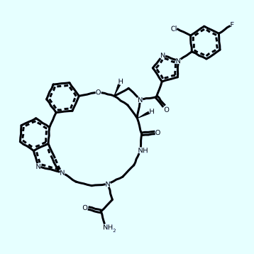 NC(=O)CN1CCNC(=O)[C@@H]2C[C@@H](CN2C(=O)c2cnn(-c3ccc(F)cc3Cl)c2)Oc2cccc(c2)-c2cccc3nn(cc23)CC1